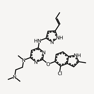 C/C=C/c1cc(Nc2cc(N(C)CCN(C)C)nc(Oc3ccc4[nH]c(C)cc4c3Cl)n2)n[nH]1